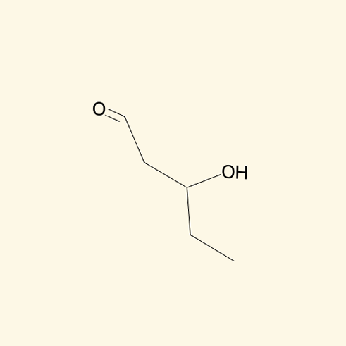 CCC(O)CC=O